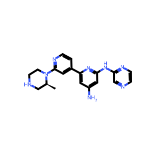 C[C@H]1CNCCN1c1cc(-c2cc(N)cc(Nc3cnccn3)n2)ccn1